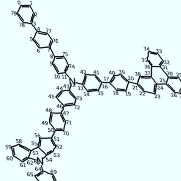 c1ccc(-c2ccc(-c3ccc(N(c4ccc(-c5ccc(-c6ccc7c8ccccc8c8ccccc8c7c6)cc5)cc4)c4ccc(-c5ccc(-c6ccc7c(c6)c6ccccc6n7-c6ccccc6)cc5)cc4)cc3)cc2)cc1